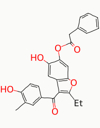 CCc1oc2cc(OC(=O)Cc3ccccc3)c(O)cc2c1C(=O)c1ccc(O)c(C)c1